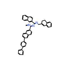 C=N/C(=N\C(=N/CC1=Cc2ccccc2CC1)c1ccc2ccccc2c1)c1ccc2cc(-c3ccc(-c4ccccc4)cc3)ccc2c1